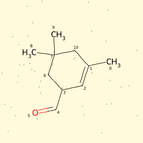 CC1=C[C](C=O)CC(C)(C)C1